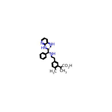 Cc1ccc(CCN[C@H](c2ccccc2)[C@H]2CNc3cccnc3N2)cc1C(C)C(=O)O